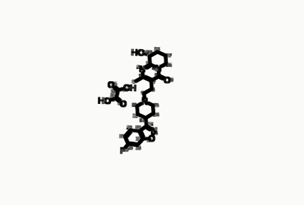 Cc1nc2n(c(=O)c1CCN1CCC(c3noc4cc(F)ccc34)CC1)CCC[C@H]2O.O=C(O)C(=O)O